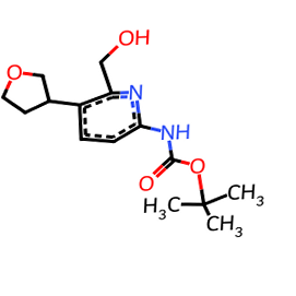 CC(C)(C)OC(=O)Nc1ccc(C2CCOC2)c(CO)n1